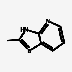 Cc1bc2cccnc2[nH]1